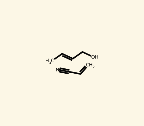 C=CC#N.CC=CCO